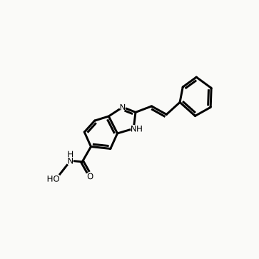 O=C(NO)c1ccc2nc(C=Cc3ccccc3)[nH]c2c1